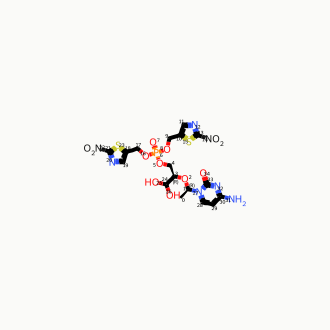 C[C@@H](O[C@H](COP(=O)(OCc1cnc([N+](=O)[O-])s1)OCc1cnc([N+](=O)[O-])s1)C(O)O)n1ccc(N)nc1=O